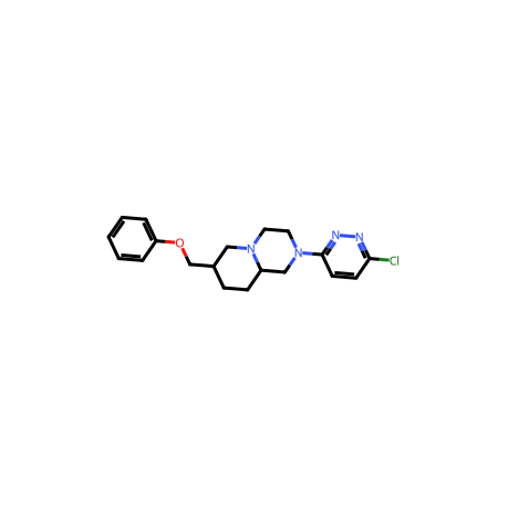 Clc1ccc(N2CCN3CC(COc4ccccc4)CCC3C2)nn1